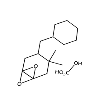 CC1(C)CC23OC2(CC1CC1CCCCC1)O3.O=C(O)O